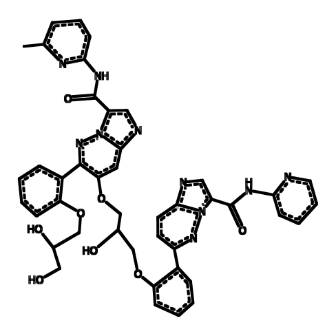 Cc1cccc(NC(=O)c2cnc3cc(OCC(O)COc4ccccc4-c4ccc5ncc(C(=O)Nc6ccccn6)n5n4)c(-c4ccccc4OCC(O)CO)nn23)n1